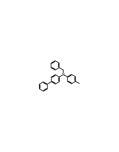 Cc1ccc(N(Cc2ccccc2)c2ccc(-c3ccccc3)cc2)cc1